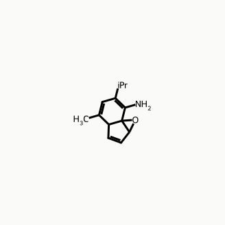 CC1=CC(C(C)C)=C(N)C23OC2C=CC13